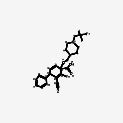 CC(C)(F)CN1CCC(COC2(C(=O)O)C=CC(c3ccccc3)C(C#N)=C2F)CC1